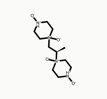 C[C@H](C[N+]1([O-])CC[NH+]([O-])CC1)[N+]1([O-])CC[NH+]([O-])CC1